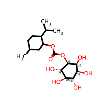 CC1CCC(C(C)C)C(OC(=O)O[C@@H]2[C@@H](O)[C@H](O)[C@@H](O)[C@H](O)[C@@H]2O)C1